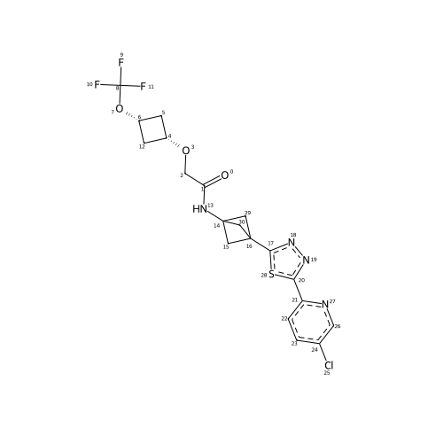 O=C(CO[C@H]1C[C@@H](OC(F)(F)F)C1)NC12CC(c3nnc(-c4ccc(Cl)cn4)s3)(C1)C2